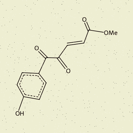 COC(=O)/C=C/C(=O)C(=O)c1ccc(O)cc1